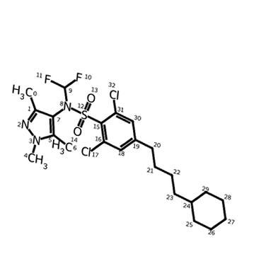 Cc1nn(C)c(C)c1N(C(F)F)S(=O)(=O)c1c(Cl)cc(CCCCC2CCCCC2)cc1Cl